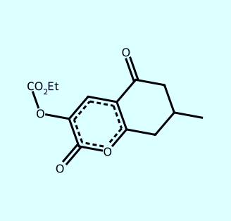 CCOC(=O)Oc1cc2c(oc1=O)CC(C)CC2=O